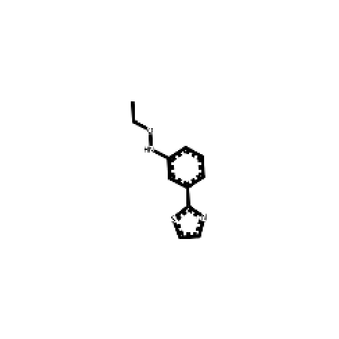 CCONc1cccc(-c2nccs2)c1